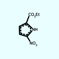 CCOC(=O)c1ccc([N+](=O)[O-])[nH]1